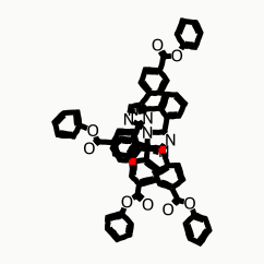 N#Cc1ccccc1C1N=C(c2ccc(C(=O)Oc3ccccc3)cc2)C(c2ccc(C(=O)Oc3ccccc3)cc2)(c2ccc(C(=O)Oc3ccccc3)cc2)N1C1(c2ccccc2C#N)N=CC(c2ccc(C(=O)Oc3ccccc3)cc2)=N1